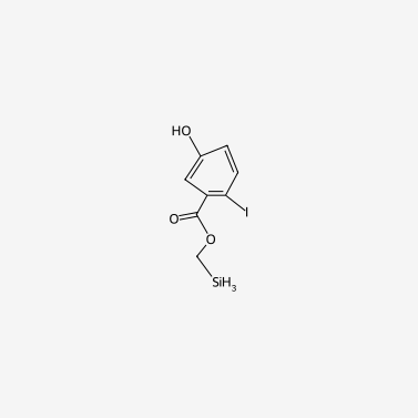 O=C(OC[SiH3])c1cc(O)ccc1I